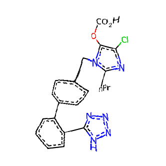 CCCc1nc(Cl)c(OC(=O)O)n1Cc1ccc(-c2ccccc2-c2nnn[nH]2)cc1